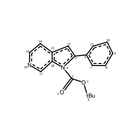 CC(C)(C)OC(=O)n1c(-c2ccccc2)cc2ccncc21